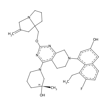 C=C1CN2CCCC2(COc2nc3c(c(N4CCC[C@@](C)(O)C4)n2)CCN(c2cc(O)cc4ccc(F)c(CC)c24)C3)C1